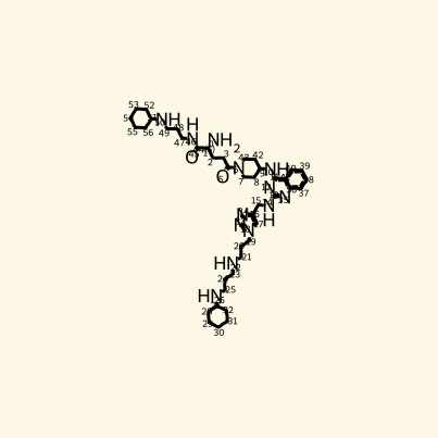 N[C@@H](CCC(=O)N1CCC(Nc2nc(NCc3cn(CCCNCCCNC4CCCCC4)nn3)nc3ccccc23)CC1)C(=O)NCCCNC1CCCCC1